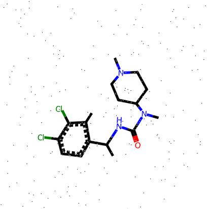 Cc1c(C(C)NC(=O)N(C)C2CCN(C)CC2)ccc(Cl)c1Cl